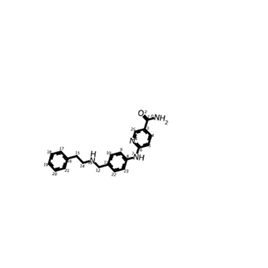 NC(=O)c1ccc(Nc2ccc(CNCCc3ccccc3)cc2)nc1